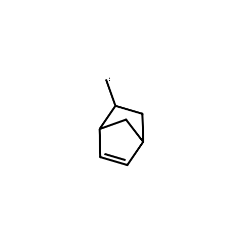 [CH]C1CC2C=CC1C2